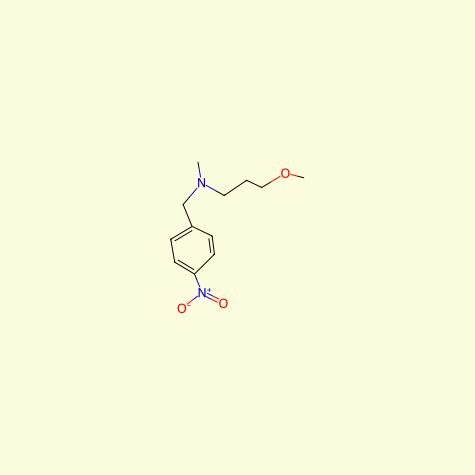 COCCCN(C)Cc1ccc([N+](=O)[O-])cc1